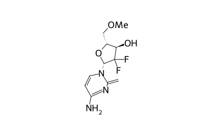 C=C1N=C(N)C=CN1[C@@H]1O[C@H](COC)[C@@H](O)C1(F)F